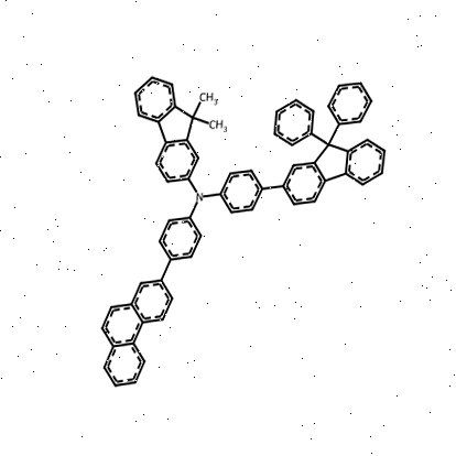 CC1(C)c2ccccc2-c2ccc(N(c3ccc(-c4ccc5c(c4)C(c4ccccc4)(c4ccccc4)c4ccccc4-5)cc3)c3ccc(-c4ccc5c(ccc6ccccc65)c4)cc3)cc21